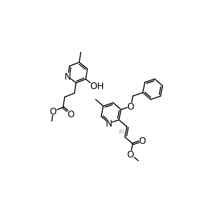 COC(=O)/C=C/c1ncc(C)cc1OCc1ccccc1.COC(=O)CCc1ncc(C)cc1O